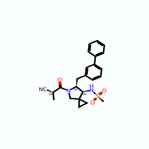 C[C@@H](C#N)C(=O)N1CC2(CC2)[C@H](NS(C)(=O)=O)[C@@H]1Cc1cccc(-c2ccccc2)c1